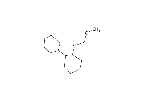 COCOC1CCCCC1C1CCCCC1